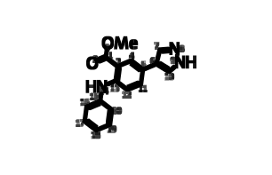 COC(=O)c1cc(-c2cn[nH]c2)ccc1Nc1ccccc1